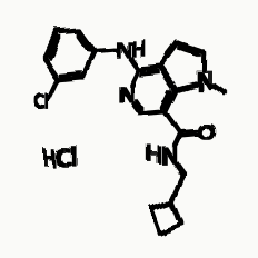 Cl.Cn1ccc2c(Nc3cccc(Cl)c3)ncc(C(=O)NCC3CCC3)c21